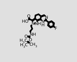 CC(C)(C)OC(=O)NCCCN1NC2=C3NC(c4ccc(F)cc4)=NC=C3CCC2=C1C(=O)O